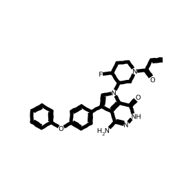 C=CC(=O)N1CCC(F)C(n2cc(-c3ccc(Oc4ccccc4)cc3)c3c(N)n[nH]c(=O)c32)C1